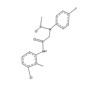 Cc1c(Cl)cccc1NC(=O)CN(c1ccc(I)cc1)[S+](C)[O-]